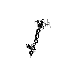 CC(O)C(C)n1ncn(-c2ccc(N3CCN(c4ccc(CSC5CCC(Cn6cncn6)(c6ccc(F)cc6F)O5)cc4)CC3)cc2)c1=O